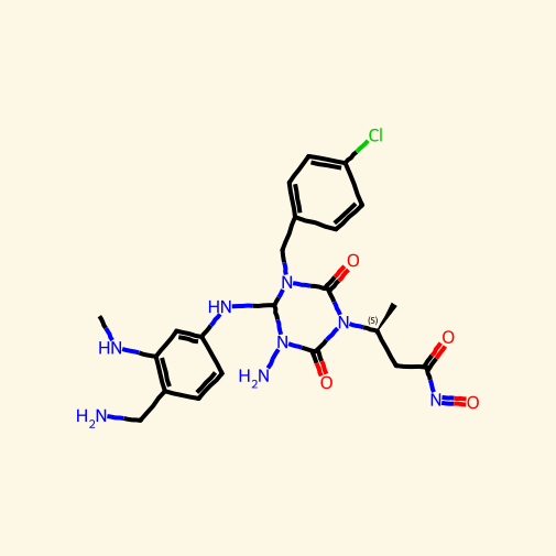 CNc1cc(NC2N(N)C(=O)N([C@@H](C)CC(=O)N=O)C(=O)N2Cc2ccc(Cl)cc2)ccc1CN